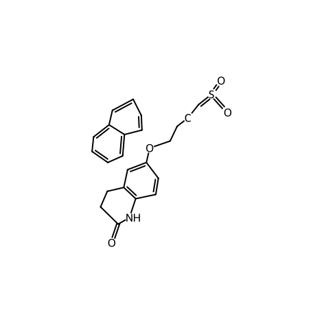 O=C1CCc2cc(OCCCC=S(=O)=O)ccc2N1.c1ccc2ccccc2c1